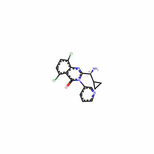 N[C@H](c1nc2c(Cl)ccc(Cl)c2c(=O)n1-c1cccnc1)C1CC1